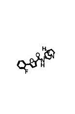 O=C(N[C@@H]1C[C@H]2CCN(C2)C1)c1ccc(-c2ccccc2F)o1